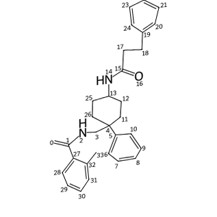 C=C(NCC1(c2ccccc2)CCC(NC(=O)CCc2ccccc2)CC1)c1ccccc1C